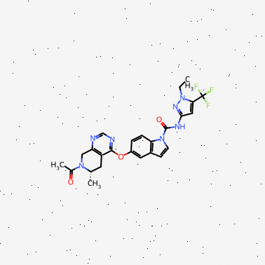 CCn1nc(NC(=O)n2ccc3cc(Oc4ncnc5c4C[C@H](C)N(C(C)=O)C5)ccc32)cc1C(F)(F)F